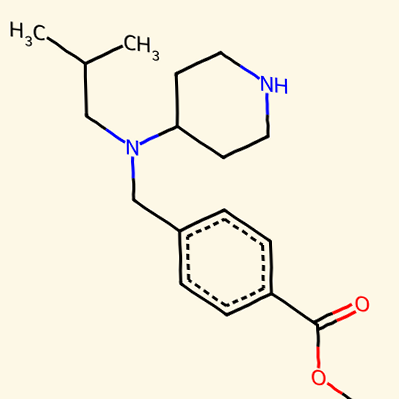 COC(=O)c1ccc(CN(CC(C)C)C2CCNCC2)cc1